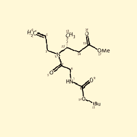 C=CCN(C(=O)CNC(=O)OC(C)(C)C)[C@H](C)CC(=O)OC